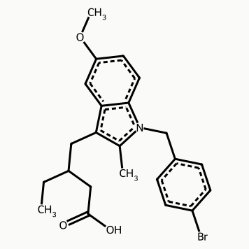 CCC(CC(=O)O)Cc1c(C)n(Cc2ccc(Br)cc2)c2ccc(OC)cc12